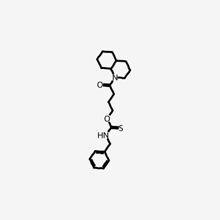 O=C(CCCOC(=S)NCc1ccccc1)N1CCCC2CCCCC21